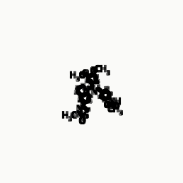 COc1ccc(C(=NCc2ccc(NS(C)(=O)=O)cc2)N2CCCc3cc(C4=NN(C)C(=O)SC4)ccc32)cc1OC